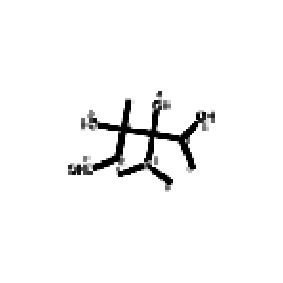 CC(O)C(O)(N(C)C)C(C)(O)CC=O